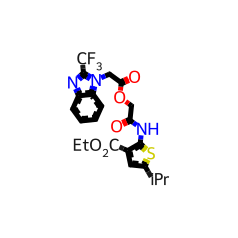 CCOC(=O)c1cc(C(C)C)sc1NC(=O)COC(=O)Cn1c(C(F)(F)F)nc2ccccc21